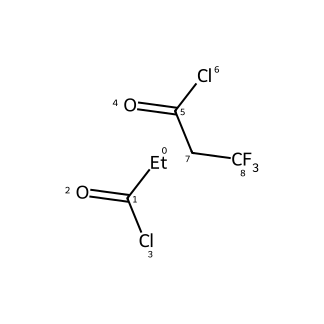 CCC(=O)Cl.O=C(Cl)CC(F)(F)F